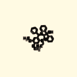 CCN1C(=O)C(C(O)(c2ccccc2)c2ccccc2)N=C(c2ccccc2)c2cc(OC)c(OC)cc21